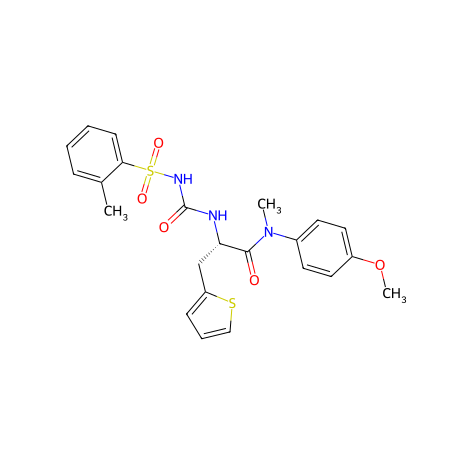 COc1ccc(N(C)C(=O)[C@H](Cc2cccs2)NC(=O)NS(=O)(=O)c2ccccc2C)cc1